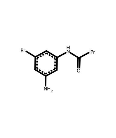 CC(C)C(=O)Nc1cc(N)cc(Br)c1